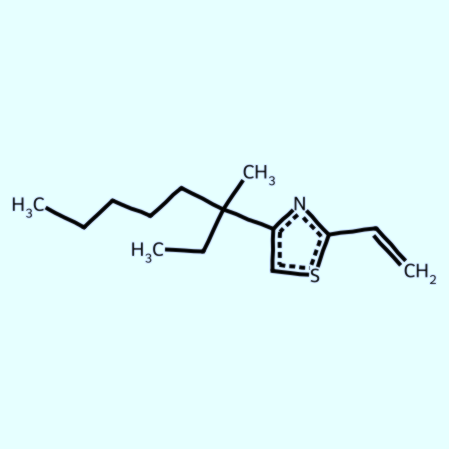 C=Cc1nc(C(C)(CC)CCCCC)cs1